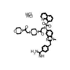 Cl.Cl.Cn1c(Cc2ccc(C(=N)N)cc2)nc2cc(N(CC(=O)N3CCN(CC(=O)N4CCOCC4)CC3)S(=O)(=O)c3cccc4cccnc34)ccc21